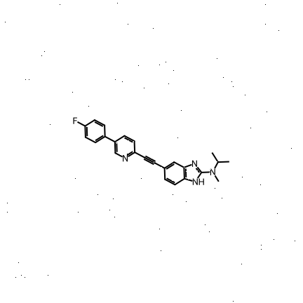 CC(C)N(C)c1nc2cc(C#Cc3ccc(-c4ccc(F)cc4)cn3)ccc2[nH]1